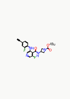 C#Cc1ccc(Nc2cncc(F)c2C(=O)NC2CN(C(=O)OC(C)(C)C)C2)c(F)c1